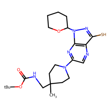 CC1(CNC(=O)OC(C)(C)C)CCN(c2cnc3c(S)nn(C4CCCCO4)c3n2)CC1